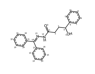 O=C(CCC(O)c1ccccc1)NN=C(c1ccccc1)c1ccccc1